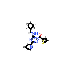 O=C(c1cccs1)n1nc(-c2ccccn2)nc1NCc1ccccc1